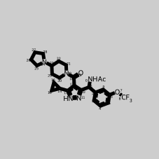 CC(=O)NC(c1cccc(OC(F)(F)F)c1)c1n[nH]c(C2CC2)c1C(=O)N1CCC(N2CCCC2)CC1